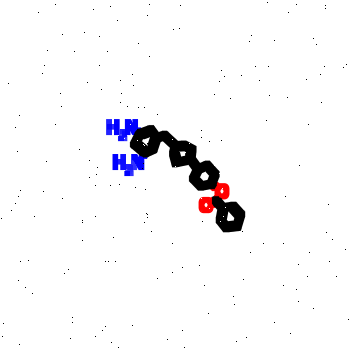 Nc1cc(N)cc(Cc2ccc(C3CCC(OC(=O)c4ccccc4)CC3)cc2)c1